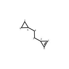 C1=CC1CCC1CC1